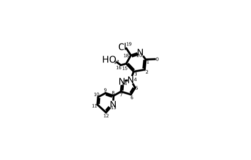 Cc1cc(-n2ccc(-c3ccccn3)n2)c(CO)c(Cl)n1